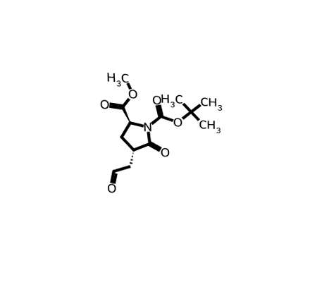 COC(=O)[C@@H]1C[C@@H](CC=O)C(=O)N1C(=O)OC(C)(C)C